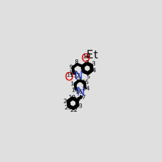 CCOc1cccc2c1CCC(=O)N2C1CCN(Cc2ccccc2)CC1